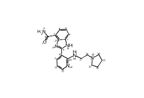 NC(=O)c1cccc2[nH]c(-c3cccnc3NCCN3CCCC3)nc12